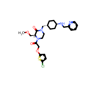 COC[C@H]1C(=O)N(C[C@H]2CC[C@H](NCc3ccccn3)CC2)CCN1C(=O)COc1ccc(Cl)s1